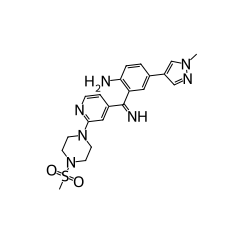 Cn1cc(-c2ccc(N)c(C(=N)c3ccnc(N4CCN(S(C)(=O)=O)CC4)c3)c2)cn1